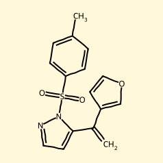 C=C(c1ccoc1)c1ccnn1S(=O)(=O)c1ccc(C)cc1